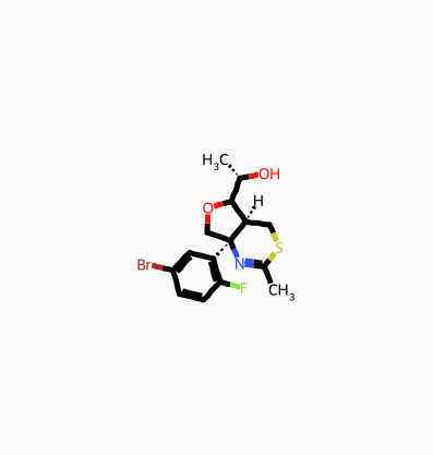 CC1=N[C@@]2(c3cc(Br)ccc3F)COC([C@H](C)O)[C@H]2CS1